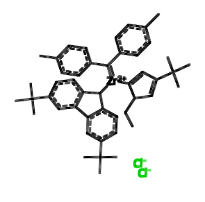 CCC1C=C(C(C)(C)C)C=[C]1[Zr+2](=[C](c1ccc(C)cc1)c1ccc(C)cc1)[CH]1c2ccc(C(C)(C)C)cc2-c2cc(C(C)(C)C)ccc21.[Cl-].[Cl-]